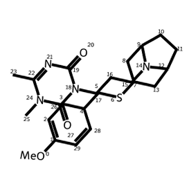 COC1=CCC(CSC2CC3CCC(C2)N3CCCn2c(=O)nc(C)n(C)c2=O)C=C1